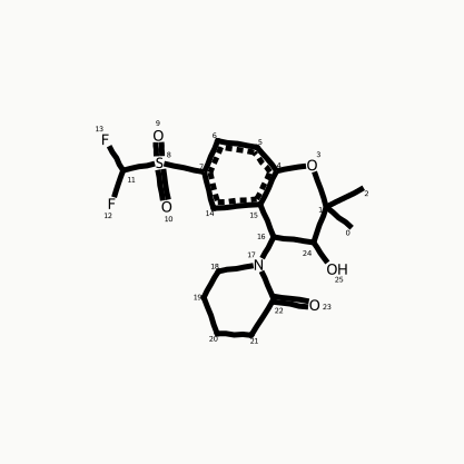 CC1(C)Oc2ccc(S(=O)(=O)C(F)F)cc2C(N2CCCCC2=O)C1O